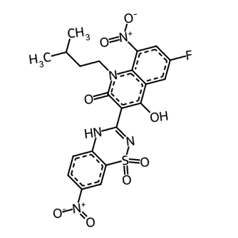 CC(C)CCn1c(=O)c(C2=NS(=O)(=O)c3cc([N+](=O)[O-])ccc3N2)c(O)c2cc(F)cc([N+](=O)[O-])c21